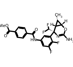 COC(=O)c1ccc(C(=O)Nc2cc(F)c(F)c([C@]3(C(F)F)N=C(N)O[C@H]4[C@@H](C)[C@H]43)c2)cc1